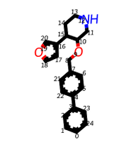 c1ccc(-c2ccc(COC3CNCCC3c3ccoc3)cc2)cc1